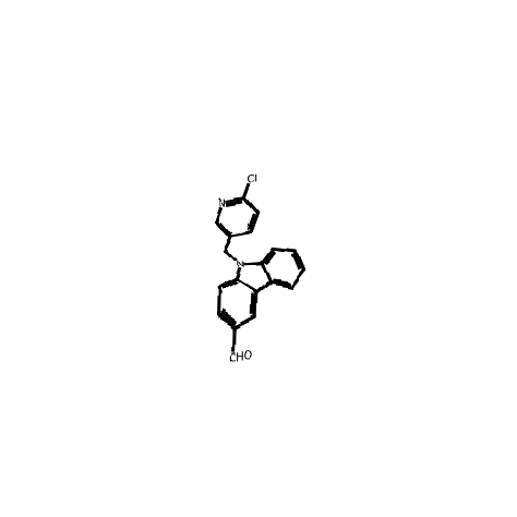 O=Cc1ccc2c(c1)c1ccccc1n2Cc1ccc(Cl)nc1